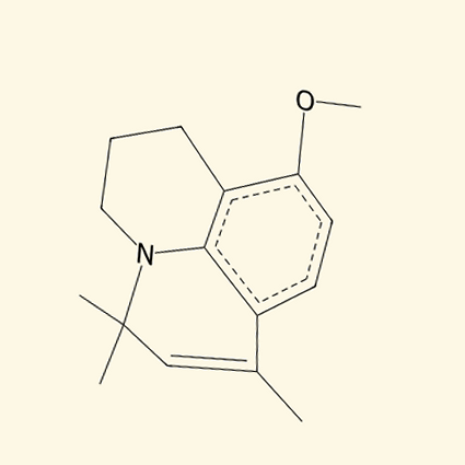 COc1ccc2c3c1CCCN3C(C)(C)C=C2C